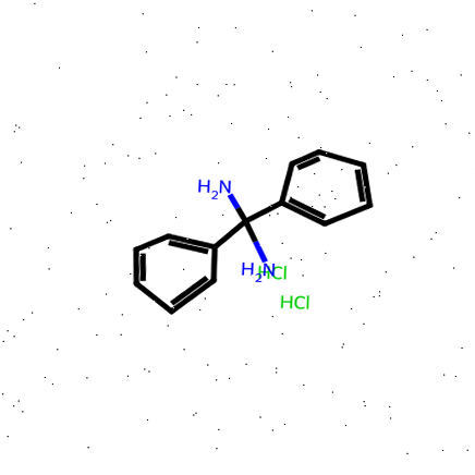 Cl.Cl.NC(N)(c1ccccc1)c1ccccc1